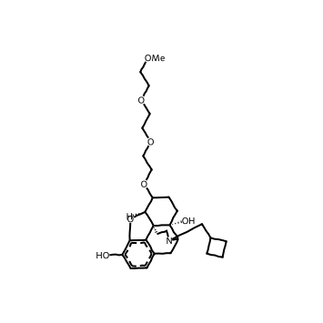 COCCOCCOCCOC1CC[C@@]2(O)C3Cc4ccc(O)c5c4[C@@]2(CCN3CC2CCC2)[C@H]1O5